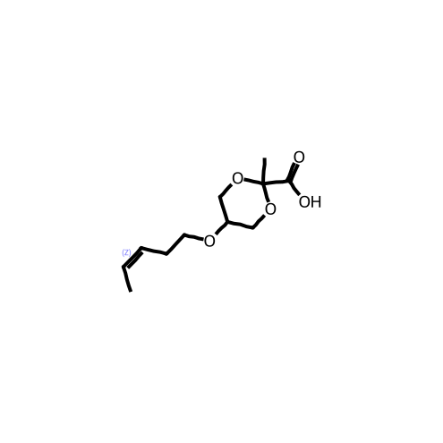 C/C=C\CCOC1COC(C)(C(=O)O)OC1